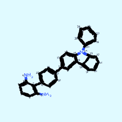 Nc1cccc(N)c1-c1ccc(-c2ccc3c(c2)c2ccccc2n3-c2ccccc2)cc1